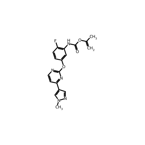 C=C(C)OC(=O)Nc1cc(Oc2nccc(-c3cnn(C)c3)n2)ccc1F